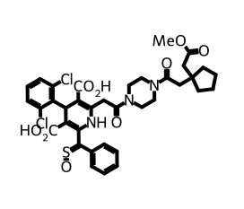 COC(=O)CC1(CC(=O)N2CCN(C(=O)CC3=C(C(=O)O)C(c4c(Cl)cccc4Cl)C(C(=O)O)=C(C(=S=O)c4ccccc4)N3)CC2)CCCC1